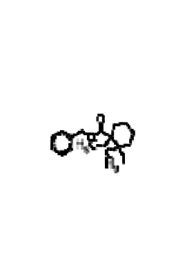 CCC1(C(=O)OCc2ccccc2)CCCC[C@]1(C)I